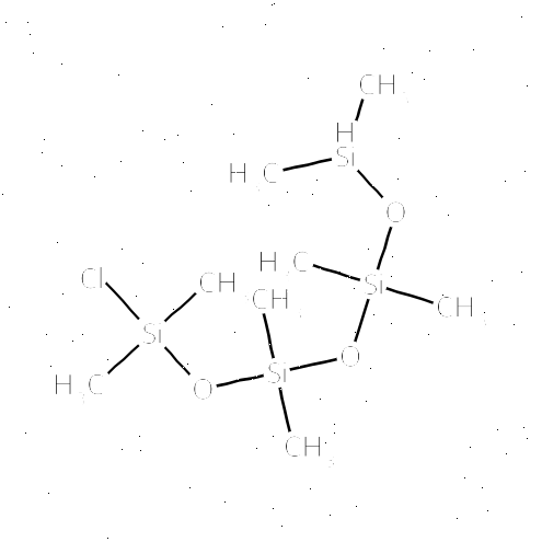 C[SiH](C)O[Si](C)(C)O[Si](C)(C)O[Si](C)(C)Cl